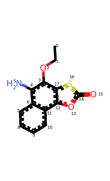 CCOc1c(N)c2ccccc2c2oc(=O)sc12